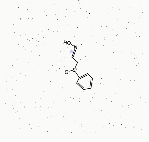 [O-][S+](C/C=N/O)c1ccccc1